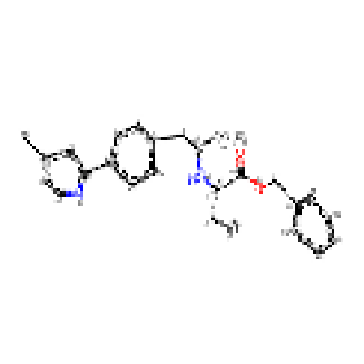 CCOC(=O)[C@H](Cc1ccc(-c2cc(C)ccn2)cc1)N[C@@H](CC(C)C)C(=O)OCc1ccccc1